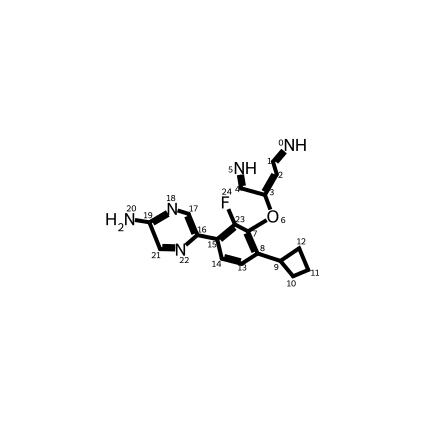 N=C/C=C(\C=N)Oc1c(C2CCC2)ccc(-c2cnc(N)cn2)c1F